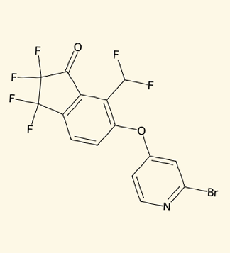 O=C1c2c(ccc(Oc3ccnc(Br)c3)c2C(F)F)C(F)(F)C1(F)F